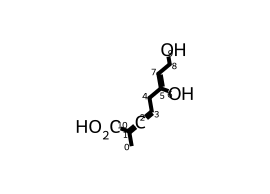 CC(=C=CCC(O)=CCO)C(=O)O